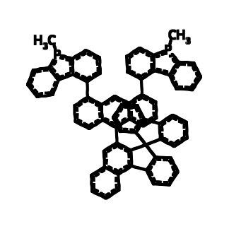 Cp1c2ccccc2c2c(-c3cccc4c(-c5cc6ccccc6c6c5C5(c7ccccc7-c7ccccc75)c5ccccc5-6)c5cccc(-c6cccc7c6c6ccccc6p7C)c5cc34)cccc21